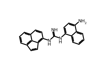 N=C(Nc1ccc2cccc3c2c1C=C3)Nc1ccc(N)c2ccccc12